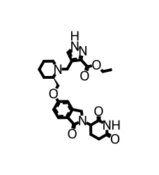 CCOC(=O)c1n[nH]cc1CN1CCCC[C@@H]1COc1ccc2c(c1)CN(C1CCC(=O)NC1=O)C2=O